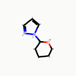 [c]1ccnn1C1CCCCO1